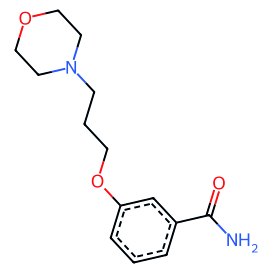 NC(=O)c1cccc(OCCCN2CCOCC2)c1